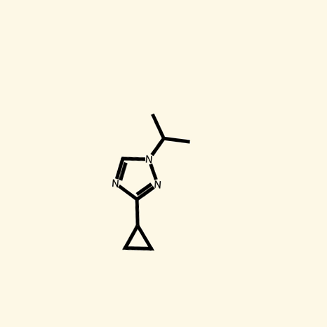 CC(C)n1cnc(C2CC2)n1